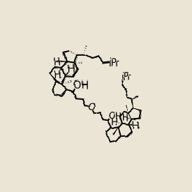 CC(C)CCC[C@@H](C)[C@H]1CC[C@H]2[C@@H]3CCC4CCCC(C(O)CCCOCCCC(O)C5CCCC6CC[C@@H]7[C@H](CC[C@]8(C)[C@@H]([C@H](C)CCCC(C)C)CC[C@@H]78)[C@]65C)[C@]4(C)[C@H]3CC[C@]12C